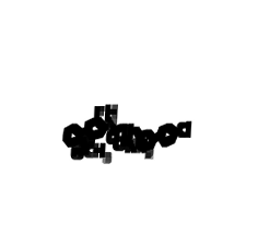 CS(=O)(=O)c1ccccc1-c1ccc(NC(=O)CN(CC2CCCC(c3ccc(Cl)cc3)C2)C(N)=O)c(F)c1